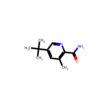 Cc1cc(C(C)(C)C)cnc1C(N)=O